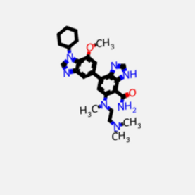 COc1cc(-c2cc(N(C)CCN(C)C)c(C(N)=O)c3[nH]cnc23)cc2ncn(C3CCCCC3)c12